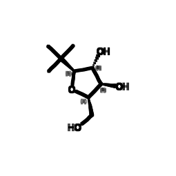 CC(C)(C)[C@@H]1O[C@H](CO)[C@H](O)[C@H]1O